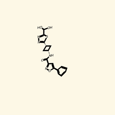 O=C(N[C@H]1C[C@@H](c2nnc(C(O)O)s2)C1)c1cc(-c2ccccc2)on1